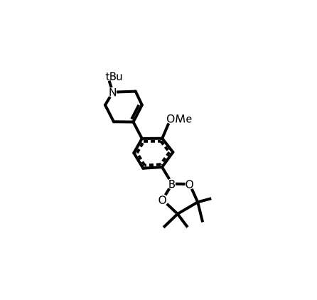 COc1cc(B2OC(C)(C)C(C)(C)O2)ccc1C1=CCN(C(C)(C)C)CC1